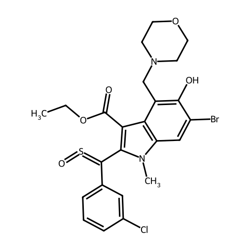 CCOC(=O)c1c(C(=S=O)c2cccc(Cl)c2)n(C)c2cc(Br)c(O)c(CN3CCOCC3)c12